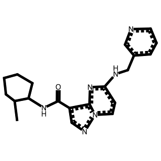 CC1CCCCC1NC(=O)c1cnn2ccc(NCc3cccnc3)nc12